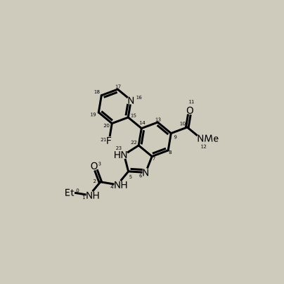 CCNC(=O)Nc1nc2cc(C(=O)NC)cc(-c3ncccc3F)c2[nH]1